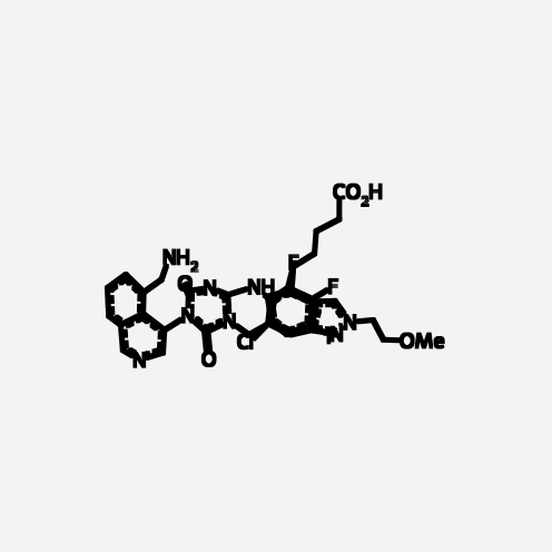 COCCn1cc2c(CCCCC(=O)O)c(Nc3nc(=O)n(-c4cncc5cccc(CN)c45)c(=O)n3Cc3cc(F)c(F)c(F)c3)c(Cl)cc2n1